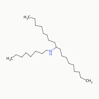 CCCCCCCCCC(CCCCCCCC)NCCCCCCCC